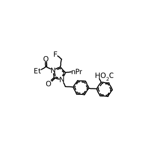 CCCc1c(CF)n(C(=O)CC)c(=O)n1Cc1ccc(-c2ccccc2C(=O)O)cc1